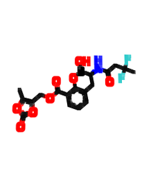 Cc1oc(=O)oc1COC(=O)c1cccc2c1OB(O)[C@@H](NC(=O)CC(C)(F)F)C2